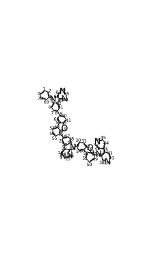 c1ccc(-n2c3ccc(-c4ccc5oc6c(-c7ccc8c(c7)c7cncnc7n8-c7ccc8oc9c(-n%10c%11cnccc%11c%11ccncc%11%10)cccc9c8c7)cccc6c5c4)cc3c3ncncc32)cc1